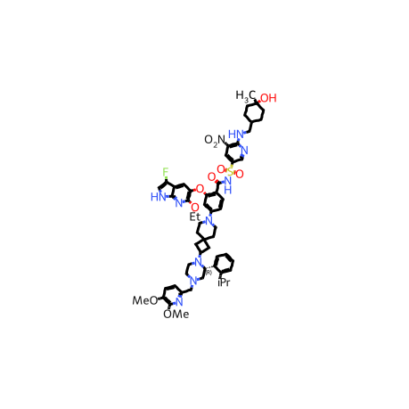 CCOc1nc2[nH]cc(F)c2cc1Oc1cc(N2CCC3(CC2)CC(N2CCN(Cc4ccc(OC)c(OC)n4)C[C@H]2c2ccccc2C(C)C)C3)ccc1C(=O)NS(=O)(=O)c1cnc(NCC2CCC(C)(O)CC2)c([N+](=O)[O-])c1